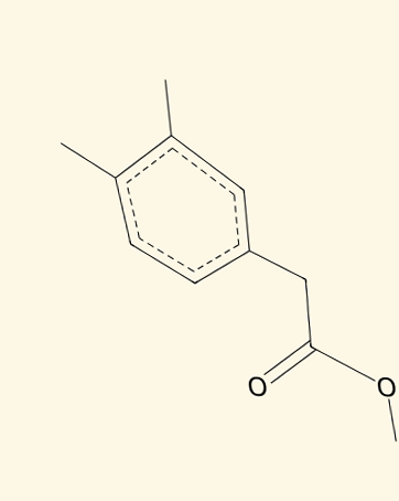 COC(=O)Cc1ccc(C)c(C)c1